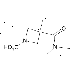 CN(C)C(=O)C1(C)CN(C(=O)O)C1